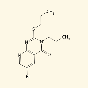 CCCSc1nc2ncc(Br)cc2c(=O)n1CCC